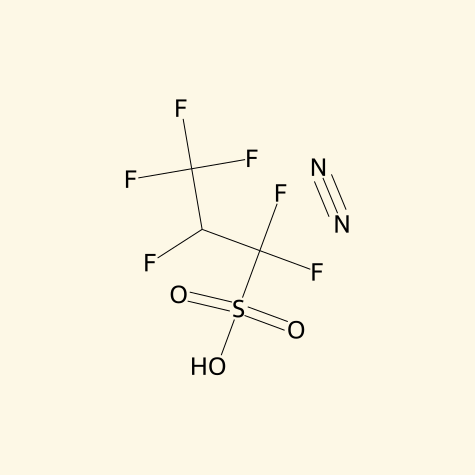 N#N.O=S(=O)(O)C(F)(F)C(F)C(F)(F)F